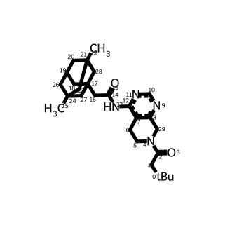 CC(C)(C)CC(=O)N1CCc2c(ncnc2NC(=O)CC23CC4CC(C)(CC(C)(C4)C2)C3)C1